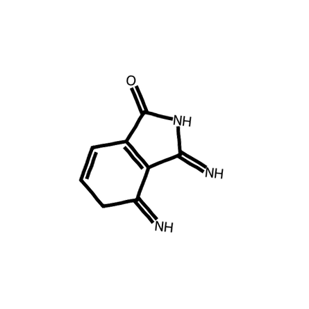 N=C1CC=CC2=C1C(=N)NC2=O